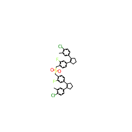 Cc1cc(C2=C(c3ccc(CS(=O)(=O)Cc4ccc(C5=C(c6ccc(Cl)c(C)c6)CCC5)cc4F)c(F)c3)CCC2)ccc1Cl